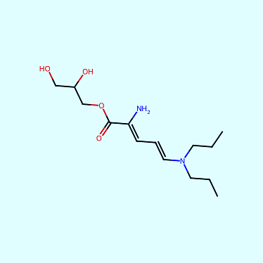 CCCN(/C=C/C=C(\N)C(=O)OCC(O)CO)CCC